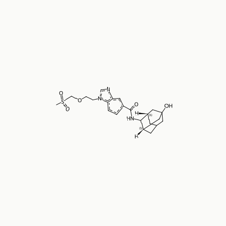 CS(=O)(=O)COCCn1cnc2cc(C(=O)NC3[C@H]4CC5C[C@H]3CC(O)(C5)C4)ccc21